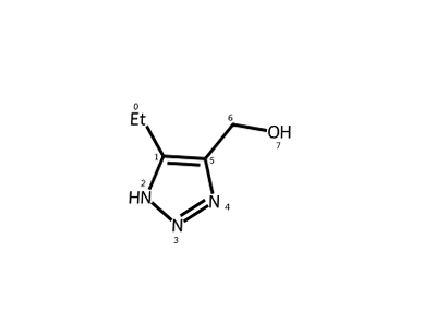 CCc1[nH]nnc1CO